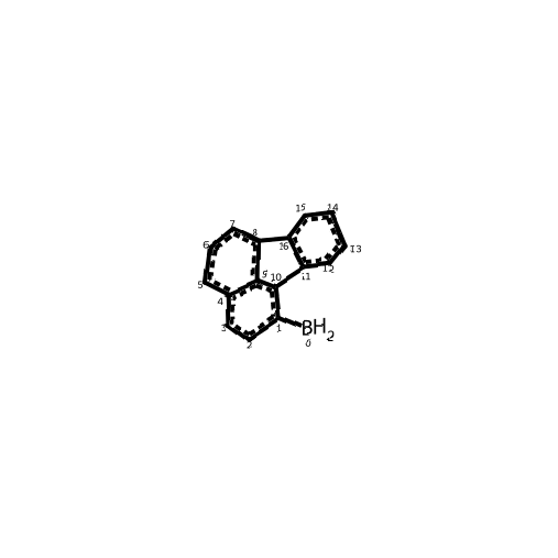 Bc1ccc2cccc3c2c1-c1ccccc1-3